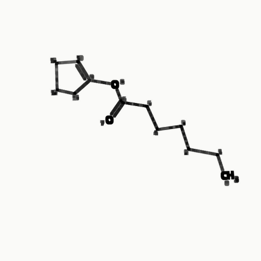 CCCCCCC(=O)OC1=CCCC1